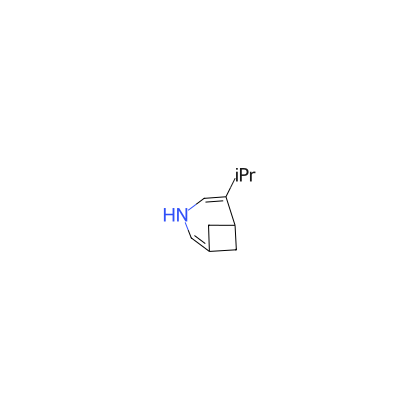 CC(C)C1=CNC=C2CC1C2